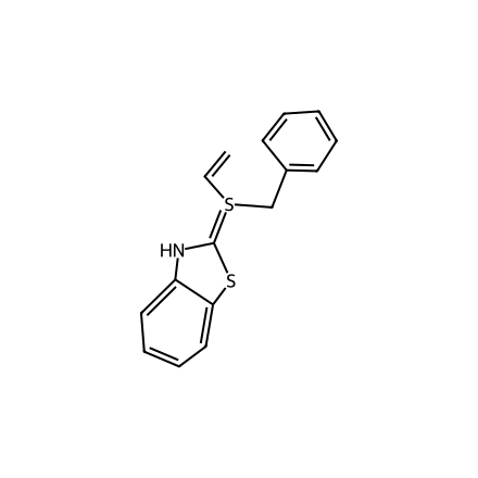 C=CS(Cc1ccccc1)=c1[nH]c2ccccc2s1